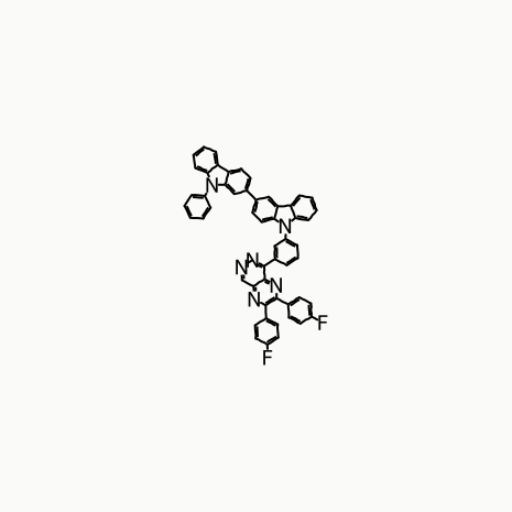 Fc1ccc(-c2nc3cnnc(-c4cccc(-n5c6ccccc6c6cc(-c7ccc8c9ccccc9n(-c9ccccc9)c8c7)ccc65)c4)c3nc2-c2ccc(F)cc2)cc1